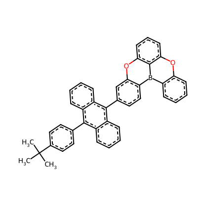 CC(C)(C)c1ccc(-c2c3ccccc3c(-c3ccc4c(c3)Oc3cccc5c3B4c3ccccc3O5)c3ccccc23)cc1